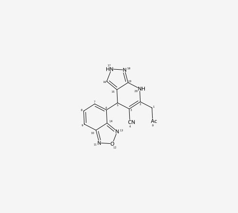 CC(=O)CC1=C(C#N)C(c2cccc3nonc23)c2c[nH]nc2N1